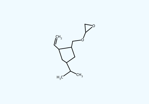 C=CC1CC(C(C)C)CC1COC1CO1